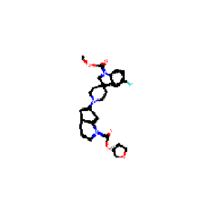 COC(=O)N1CC2(CCN(C3CC4CCCN(C(=O)O[C@@H]5CCOC5)C4C3)CC2)c2cc(F)ccc21